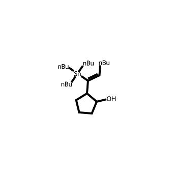 CCCC/C=[C](/C1CCCC1O)[Sn]([CH2]CCC)([CH2]CCC)[CH2]CCC